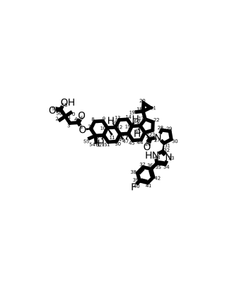 CC(C)(CC(=O)O[C@H]1CC[C@]2(C)[C@H]3CC[C@@H]4[C@H]5C(C6(C)CC6)CC[C@]5(C(=O)N5CCC[C@H]5c5ncc(-c6ccc(F)cc6)[nH]5)CC[C@@]4(C)[C@]3(C)CC[C@H]2C1(C)C)C(=O)O